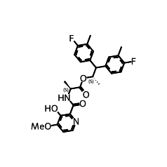 COc1ccnc(C(=O)N[C@@H](C)C(=O)O[C@@H](C)C(c2ccc(F)c(C)c2)c2ccc(F)c(C)c2)c1O